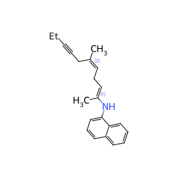 CCC#CC/C(C)=C\C/C=C(\C)Nc1cccc2ccccc12